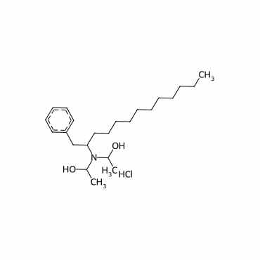 CCCCCCCCCCCC(Cc1ccccc1)N(C(C)O)C(C)O.Cl